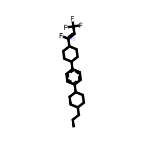 CCCC1CCC(c2ccc(C3CCC(/C(F)=C/C(F)(F)F)CC3)cc2)CC1